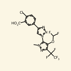 Cn1nc(C(F)(F)C(F)(F)F)c(OC(F)F)c1-n1cc(-c2ccc(Cl)c(C(=O)O)c2)nn1